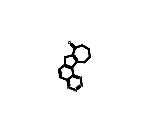 O=C1CCCCC2=C1Cc1ccc3nnnnc3c12